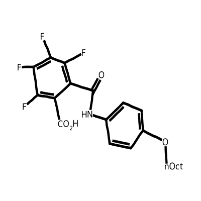 CCCCCCCCOc1ccc(NC(=O)c2c(F)c(F)c(F)c(F)c2C(=O)O)cc1